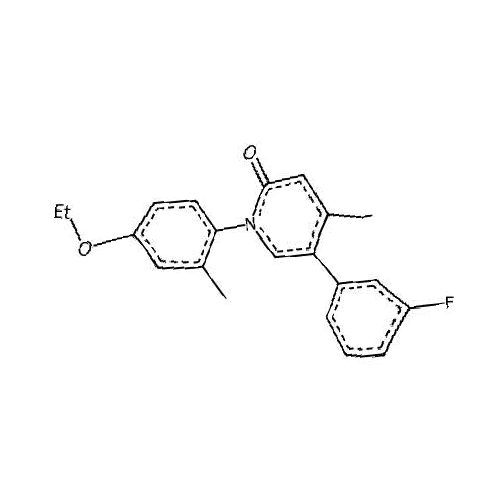 CCOc1ccc(-n2cc(-c3cccc(F)c3)c(C)cc2=O)c(C)c1